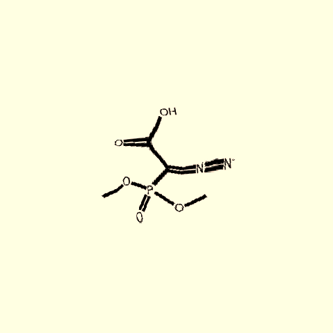 COP(=O)(OC)C(=[N+]=[N-])C(=O)O